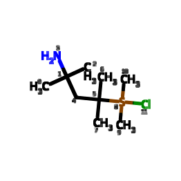 CC(C)(N)CC(C)(C)S(C)(C)Cl